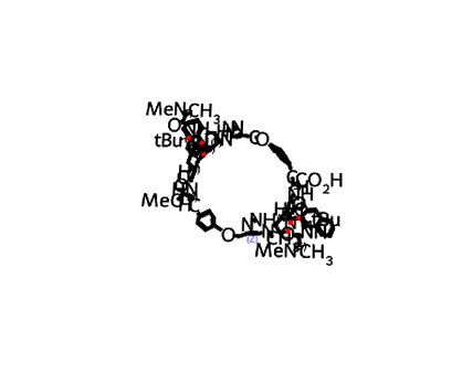 CN[C@@H](C)C(=O)N[C@H](C(=O)N1CC[C@@H]2[C@H]1C(=O)C[C@@H](Cc1ccc3ccccc3c1)C(=O)N[C@H](C(=O)OC)Cc1ccc(cc1)OC/C(N=N)=C/N(C)C1CCN(C(=O)[C@@H](NC(=O)[C@H](C)NC)C(C)(C)C)[C@@H]1[C@@H](Cc1ccc3ccccc3c1)C(=O)N[C@H](C(=O)O)Cc1ccc(cc1)OCc1cn2nn1)C(C)(C)C